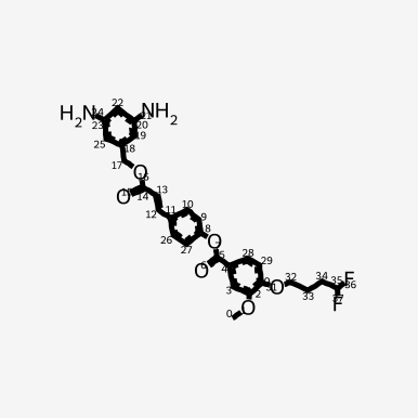 COc1cc(C(=O)Oc2ccc(/C=C/C(=O)OCc3cc(N)cc(N)c3)cc2)ccc1OCCCC(F)F